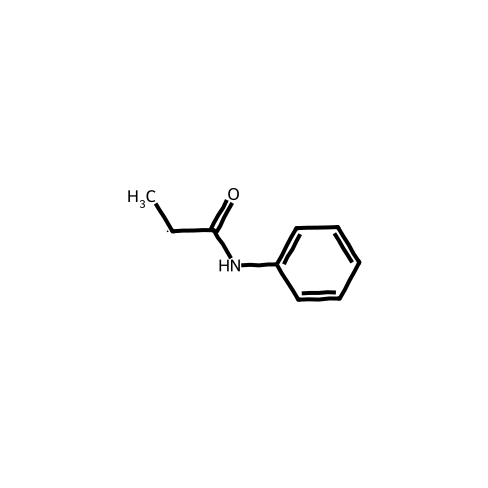 C[CH]C(=O)Nc1ccccc1